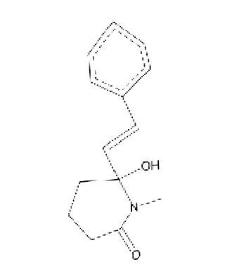 CN1C(=O)CCCC1(O)C=Cc1ccccc1